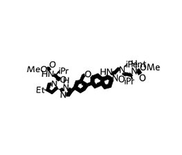 CCC[C@H](C)N(Cc1nc2ccc3cc4c(cc3c2[nH]1)OCc1cc(-c2cnc([C@@H]3C[C@H](CC)CN3C(=O)[C@@H](NC(=O)OC)C(C)C)[nH]2)ccc1-4)C(=O)[C@@H](NC(=O)OC)C(C)C